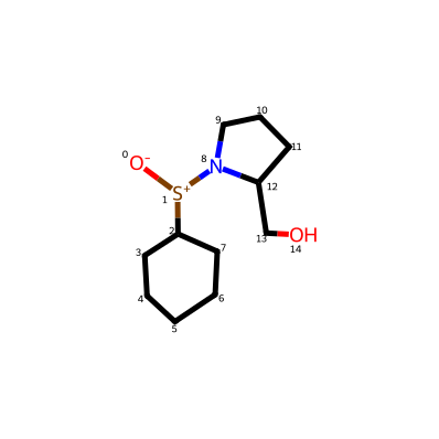 [O-][S+](C1CCCCC1)N1CCCC1CO